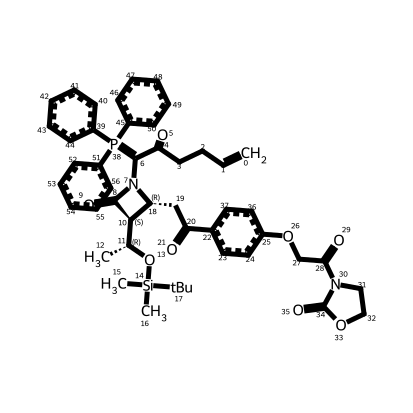 C=CCCC(=O)C(N1C(=O)[C@H]([C@@H](C)O[Si](C)(C)C(C)(C)C)[C@H]1CC(=O)c1ccc(OCC(=O)N2CCOC2=O)cc1)=P(c1ccccc1)(c1ccccc1)c1ccccc1